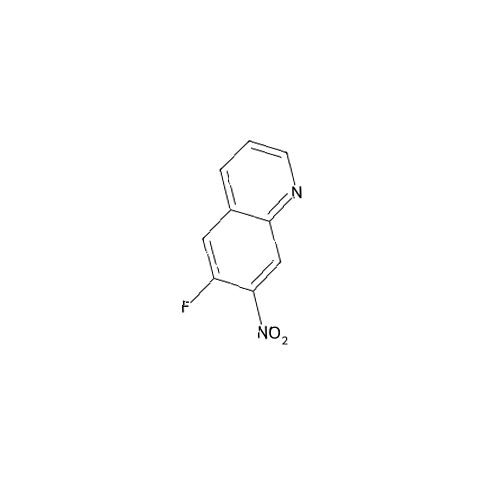 O=[N+]([O-])c1cc2ncccc2cc1F